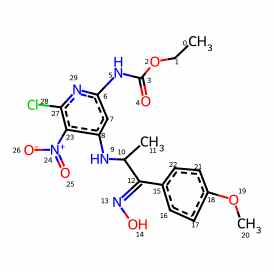 CCOC(=O)Nc1cc(NC(C)C(=NO)c2ccc(OC)cc2)c([N+](=O)[O-])c(Cl)n1